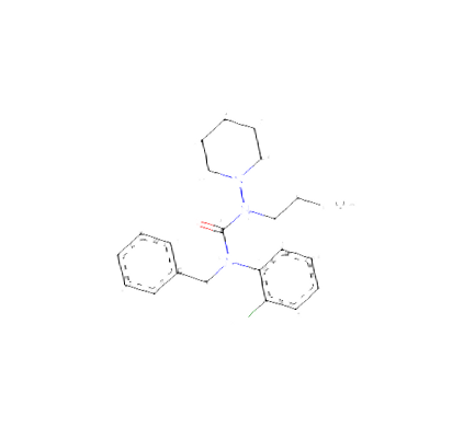 COCCN(C(=O)N(Cc1ccccc1)c1ccccc1F)N1CCCCC1